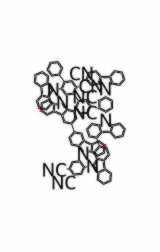 N#Cc1cc(-n2c3ccccc3c3cc(-c4ccc5c(c4)c4ccccc4n5-c4c(-c5ccccc5)c(C#N)c(C#N)c(-c5ccccc5)c4-n4c5ccccc5c5ccccc54)ccc32)c(-n2c3ccccc3c3ccc(-c4cccc5c4c4ccccc4n5-c4ccc(-n5c6ccccc6c6ccccc65)c(C#N)c4C#N)cc32)cc1C#N